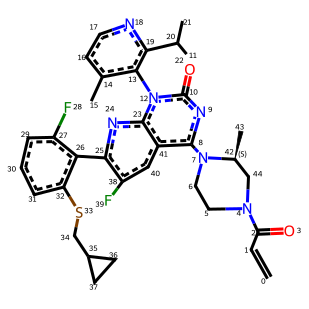 C=CC(=O)N1CCN(c2nc(=O)n(-c3c(C)ccnc3C(C)C)c3nc(-c4c(F)cccc4SCC4CC4)c(F)cc23)[C@@H](C)C1